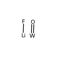 [Li][F].[O]=[W]